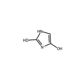 OC1=CNC(O)=[N+]1